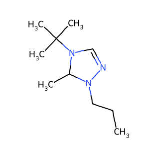 CCCN1N=CN(C(C)(C)C)C1C